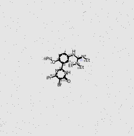 CCCOc1ccc(N/C(=N/CC)N(CC)CC)cc1-c1nc(C(C)C)c(Br)c(=O)[nH]1